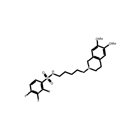 COc1cc2c(cc1OC)CN(CCCCCNS(=O)(=O)c1ccc(F)c(F)c1F)CC2